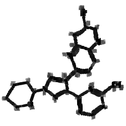 Cc1cccc(-c2nn(C3CCCCO3)cc2-c2ccc3ncc(Br)cc3n2)n1